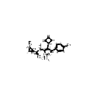 Cn1nc(-c2ccc(F)cc2)c(C2CCC2)c1NC(=O)[C@H]1C[C@H]1F